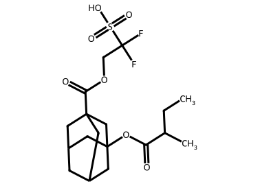 CCC(C)C(=O)OC12CC3CC(C1)CC(C(=O)OCC(F)(F)S(=O)(=O)O)(C3)C2